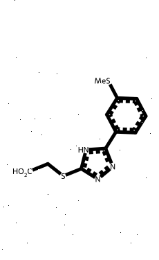 CSc1cccc(-c2nnc(SCC(=O)O)[nH]2)c1